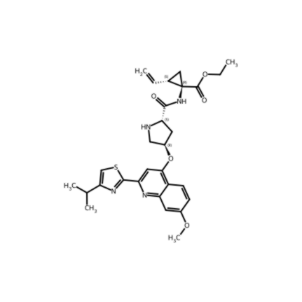 C=C[C@@H]1C[C@]1(NC(=O)[C@@H]1C[C@@H](Oc2cc(-c3nc(C(C)C)cs3)nc3cc(OC)ccc23)CN1)C(=O)OCC